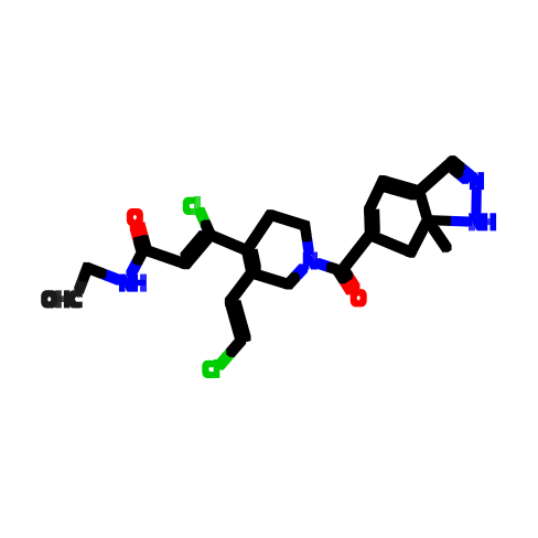 CC12CC(C(=O)N3CCC(C(/Cl)=C/C(=O)NCC=O)=C(/C=C/Cl)C3)=CC=C1C=NN2